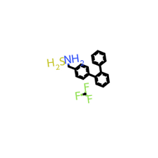 FC(F)F.NCc1ccc(-c2ccccc2-c2ccccc2)cc1.S